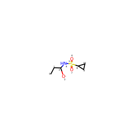 CCC([O])NS(=O)(=O)C1CC1